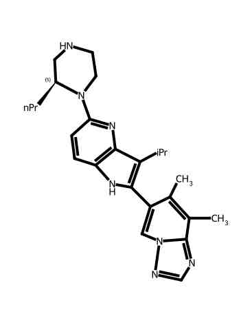 CCC[C@H]1CNCCN1c1ccc2[nH]c(-c3cn4ncnc4c(C)c3C)c(C(C)C)c2n1